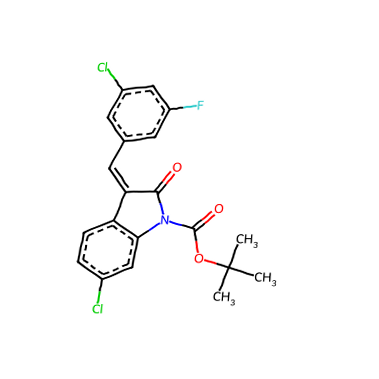 CC(C)(C)OC(=O)N1C(=O)C(=Cc2cc(F)cc(Cl)c2)c2ccc(Cl)cc21